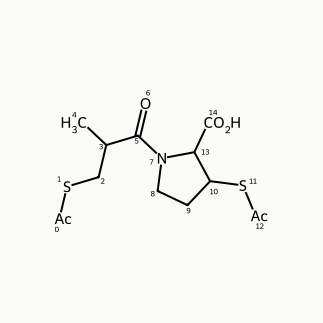 CC(=O)SCC(C)C(=O)N1CCC(SC(C)=O)C1C(=O)O